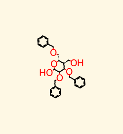 OC[C@H]1[C@H](OCc2ccccc2)[C@@H](OCc2ccccc2)C(O)O[C@@H]1COCc1ccccc1